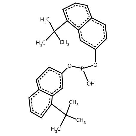 CC(C)(C)c1cccc2ccc(OP(O)Oc3ccc4cccc(C(C)(C)C)c4c3)cc12